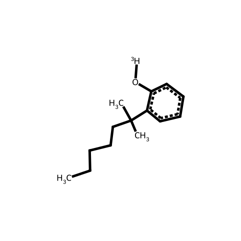 [3H]Oc1ccccc1C(C)(C)CCCCC